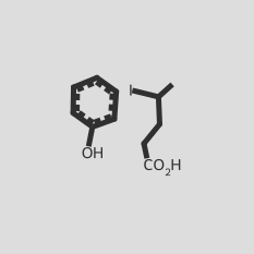 CC(I)CCC(=O)O.Oc1ccccc1